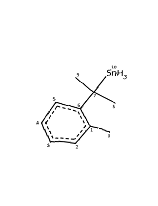 Cc1ccccc1[C](C)(C)[SnH3]